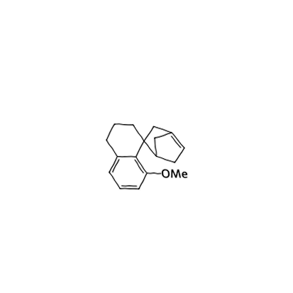 COc1cccc2c1C1(CCC2)CC2=CCC1C2